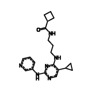 O=C(NCCCNc1nc(Nc2cccnc2)ncc1C1CC1)C1CCC1